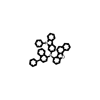 c1ccc(-c2ccc(N(c3ccc4c5ccccc5n(-c5ccccc5)c4c3)c3cccc4oc5c6ccccc6ccc5c34)c3ccccc23)cc1